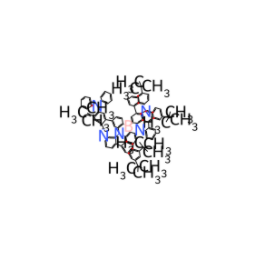 CC(C)(C)c1ccc(N(c2ccc(C(C)(C)C)cc2)c2cc3c(cc2-c2ccccc2)B2c4ccc(-c5cc(N(c6ccccc6)c6ccccc6)c(C(C)(C)C)cc5C#N)cc4N(c4ccccc4-c4ccccc4)c4cc(-c5ccc(C(C)(C)C)cc5C(C)(C)C)cc(c42)N3c2ccccc2-c2ccccc2)cc1